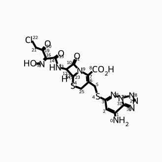 Nc1cc(SCC2=C(C(=O)O)N3C(=O)C(NC(=O)C(=NO)C(=O)CCl)[C@@H]3SC2)nn2nnnc12